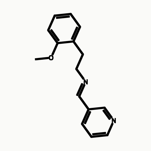 COc1ccccc1CCN=Cc1cccnc1